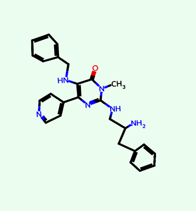 Cn1c(NCC(N)Cc2ccccc2)nc(-c2ccncc2)c(NCc2ccccc2)c1=O